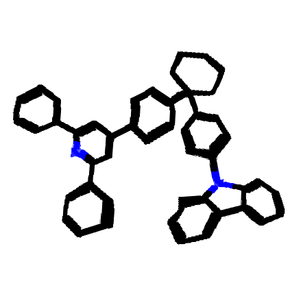 c1ccc(-c2cc(-c3ccc(C4(c5ccc(-n6c7ccccc7c7ccccc76)cc5)CCCCC4)cc3)cc(-c3ccccc3)n2)cc1